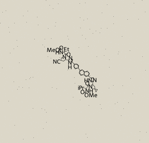 CCC(NC(=O)OC)C(=O)N1CC(C#N)CC1c1ncc(-c2ccc(-c3ccc4cc(-c5cnc(C6CC7(CC7)CN6C(=O)C(NC(=O)OC)C(C)C)[nH]5)ccc4c3)cc2)[nH]1